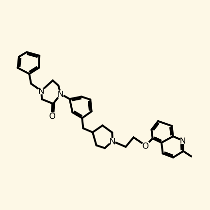 Cc1ccc2c(OCCN3CCC(Cc4cccc(N5CCN(Cc6ccccc6)CC5=O)c4)CC3)cccc2n1